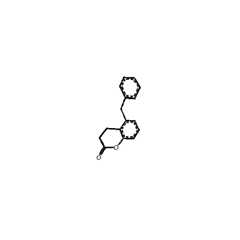 O=C1CCc2c(Cc3ccccc3)cccc2O1